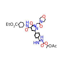 CCOC(=O)[C@H]1CC[C@H](NC(=O)c2cc(-c3ccc(C(=N)NC(=O)OC(C)OC(C)=O)cc3)nn(CC(=O)N3CCOCC3)c2=O)CC1